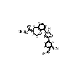 CC(C)Oc1ccc(C2=NC(c3cccc4c3OCCN(C(=O)OC(C)(C)C)C4)NO2)cc1C#N